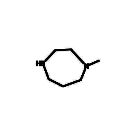 CN1CCBCCC1